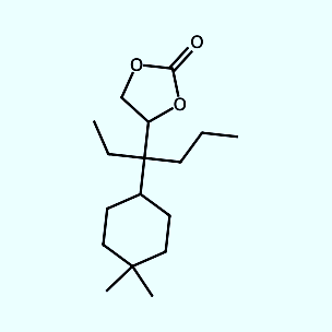 CCCC(CC)(C1CCC(C)(C)CC1)C1COC(=O)O1